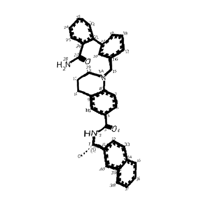 C[C@H](NC(=O)c1ccc2c(c1)CCCN2Cc1cccc(-c2ccccc2C(N)=O)c1)c1ccc2ccccc2c1